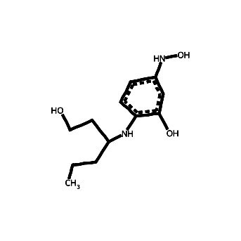 CCCC(CCO)Nc1ccc(NO)cc1O